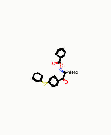 CCCCCC/C(=N\OC(=O)C1=CC=C=C=C1)C(=O)c1ccc(SC2=CCCC=C2)cc1